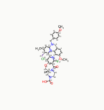 COc1ccc(CN(Cc2ccc(OC)cc2)c2cc(C)c(I)c(-c3nc(F)c4c(c3Cl)OC[C@H]3CN(C(=O)O)CCN3C4=O)n2)cc1